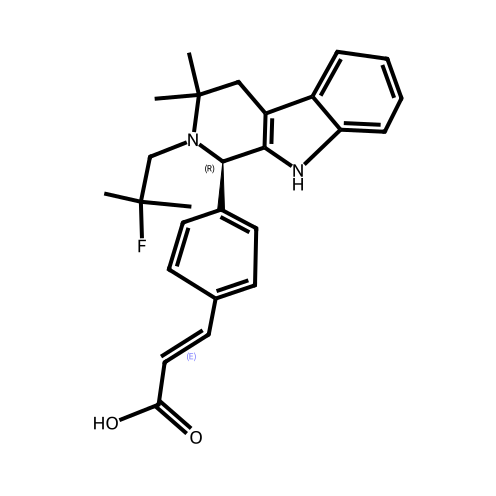 CC(C)(F)CN1[C@H](c2ccc(/C=C/C(=O)O)cc2)c2[nH]c3ccccc3c2CC1(C)C